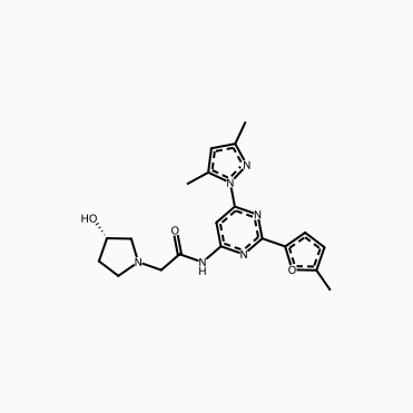 Cc1cc(C)n(-c2cc(NC(=O)CN3CC[C@H](O)C3)nc(-c3ccc(C)o3)n2)n1